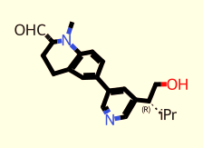 CC(C)[C@@H](CO)c1cncc(-c2ccc3c(c2)CCC(C=O)N3C)c1